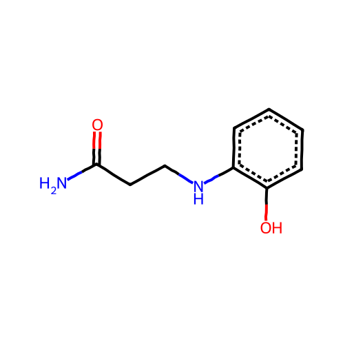 NC(=O)CCNc1ccccc1O